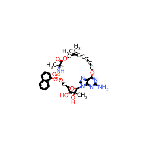 C[C@@H]1NP(=O)(Oc2cccc3ccccc23)OCC2OC(n3cnc4c(nc(N)nc43)OCCCCCC(C)(C)COC1=O)[C@](C)(O)[C@@H]2O